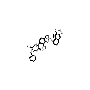 Cc1ccc2cccc(OCc3c(Cl)ccc(N4CC(=O)N(Cc5ccccc5)CC4=O)c3Cl)c2n1